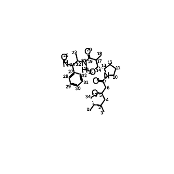 CCC(C)CC(CC(=O)N1CCC[C@H]1C(OC)C(C)C(=O)NC(C)C(N=O)c1ccccc1)OC